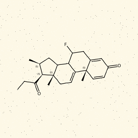 CCC(=O)[C@H]1[C@@H](C)CC2C3C(=CC[C@@]21C)[C@@]1(C)C=CC(=O)C=C1CC3F